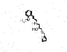 COc1ccccc1C=CCNCC(O)COCc1ccco1